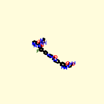 Cn1nc(N2CCC(=O)NC2=O)c2ccc(C3CCN(CC(=O)N4CCN(c5ccc(-c6cc(F)c7c(c6)C(=O)N(C(C(=O)Nc6nccs6)c6ncn8c6CCC8)C7)cc5)CC4)CC3)cc21